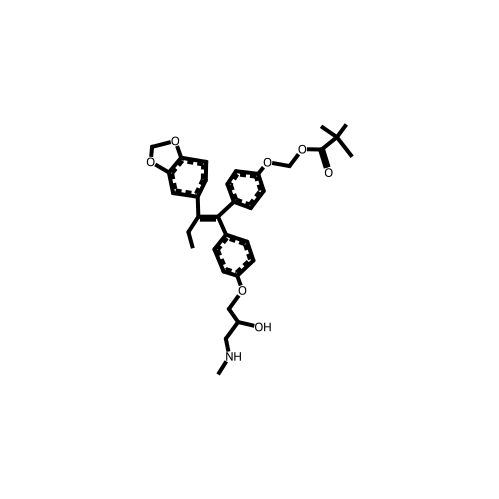 CCC(=C(c1ccc(OCOC(=O)C(C)(C)C)cc1)c1ccc(OCC(O)CNC)cc1)c1ccc2c(c1)OCO2